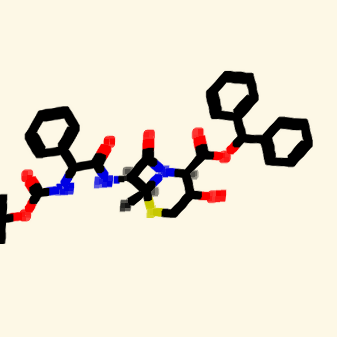 CC(C)(C)OC(=O)NC(C(=O)N[C@@H]1C(=O)N2[C@@H]1SCC(O)[C@@H]2C(=O)OC(c1ccccc1)c1ccccc1)c1ccccc1